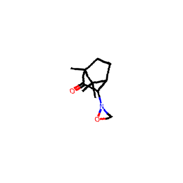 CC12CCC(C(N3CO3)C1=O)C2(C)C